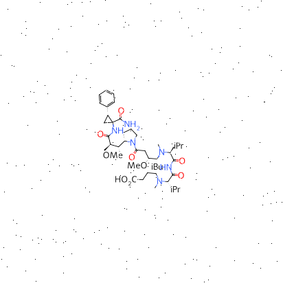 CC[C@H](C)[C@@H]([C@@H](CC(=O)N1CCC[C@H]1[C@H](OC)[C@@H](C)C(=O)N[C@@]1(C(N)=O)C[C@@H]1c1ccccc1)OC)N(C)[C@H](C(=O)NC(=O)[C@H](C(C)C)N(C)CCCC(=O)O)C(C)C